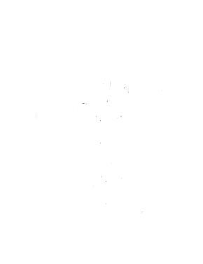 CCc1cccc(CNC[C@@H](O)[C@H](Cc2cc(F)cc(F)c2)NC(=O)c2cc(C)cc(C(=O)N(C)Cc3ccccc3)c2)c1